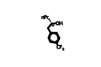 CCC[C@H](O)Cc1ccc(C(F)(F)F)cc1